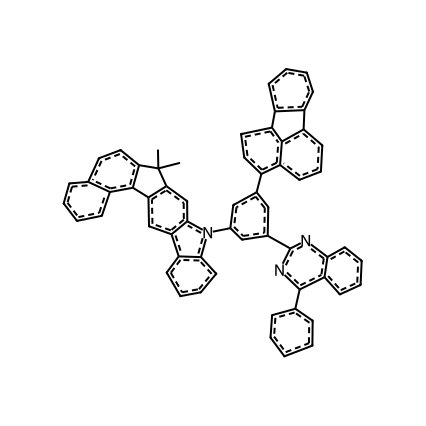 CC1(C)c2cc3c(cc2-c2c1ccc1ccccc21)c1ccccc1n3-c1cc(-c2nc(-c3ccccc3)c3ccccc3n2)cc(-c2ccc3c4c(cccc24)-c2ccccc2-3)c1